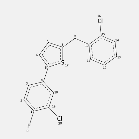 Fc1ccc(-c2ccc(Cc3ccccc3Cl)s2)cc1Cl